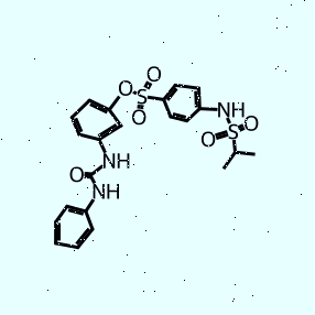 CC(C)S(=O)(=O)Nc1ccc(S(=O)(=O)Oc2cccc(NC(=O)Nc3ccccc3)c2)cc1